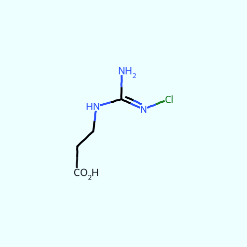 NC(=NCl)NCCC(=O)O